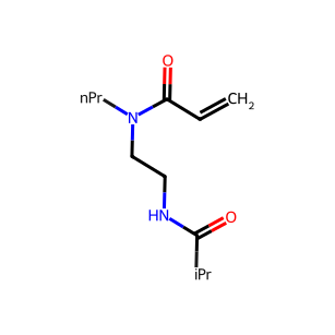 C=CC(=O)N(CCC)CCNC(=O)C(C)C